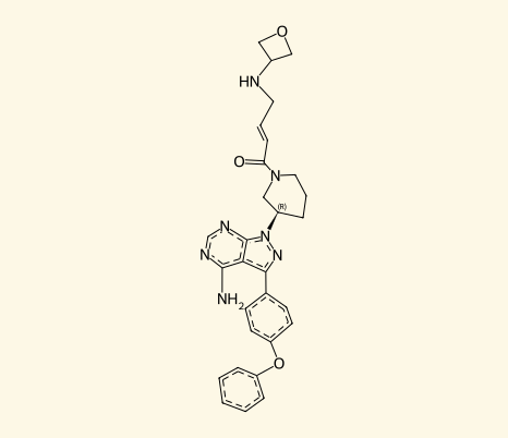 Nc1ncnc2c1c(-c1ccc(Oc3ccccc3)cc1)nn2[C@@H]1CCCN(C(=O)C=CCNC2COC2)C1